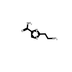 NCCc1nc(C(N)=O)cs1